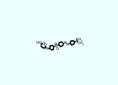 CN(C)c1ccc(N=Nc2ccc(S(=O)(=O)c3ccc(NC(=O)/C=C\C(=O)O)cc3)cc2)cc1